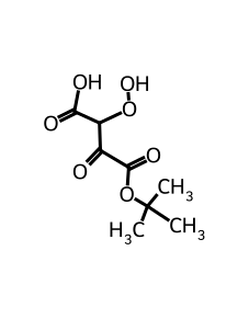 CC(C)(C)OC(=O)C(=O)C(OO)C(=O)O